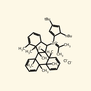 CCCCC1C=C(C(C)(C)C)C=[C]1[Zr+2](=[C](C)C)[CH]1C2C=CC=C(C)C2(C)C2(C)C3(C)C=CC=CC3(C)C3(C)C=CC=CC3(C)C12C.[Cl-].[Cl-]